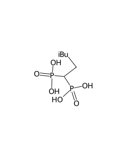 CCC(C)CC(P(=O)(O)O)P(=O)(O)O